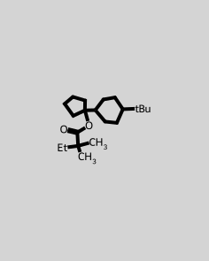 CCC(C)(C)C(=O)OC1(C2CCC(C(C)(C)C)CC2)CCCC1